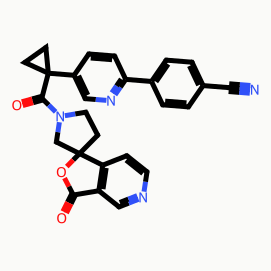 N#Cc1ccc(-c2ccc(C3(C(=O)N4CCC5(C4)OC(=O)c4cnccc45)CC3)cn2)cc1